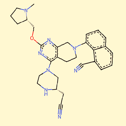 CN1CCC[C@H]1COc1nc2c(c(N3CCN[C@@H](CC#N)C3)n1)CCN(c1cccc3cccc(C#N)c13)C2